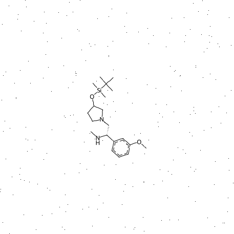 CN[C@H](CN1CCC(O[Si](C)(C)C(C)(C)C)C1)c1cccc(OC)c1